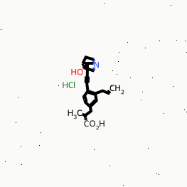 C=CCc1cc(CC(C)C(=O)O)ccc1C#CC1(O)CN2CCC1CC2.Cl